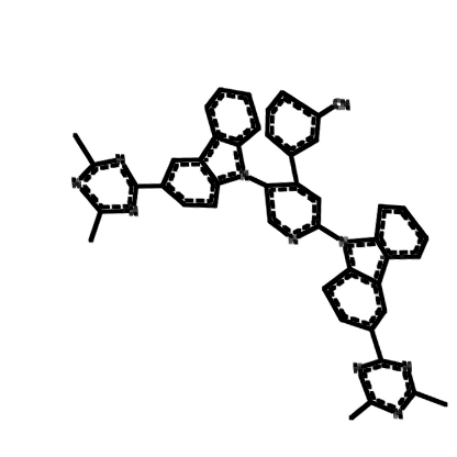 Cc1nc(C)nc(-c2ccc3c(c2)c2ccccc2n3-c2cc(-c3cccc(C#N)c3)c(-n3c4ccccc4c4cc(-c5nc(C)nc(C)n5)ccc43)cn2)n1